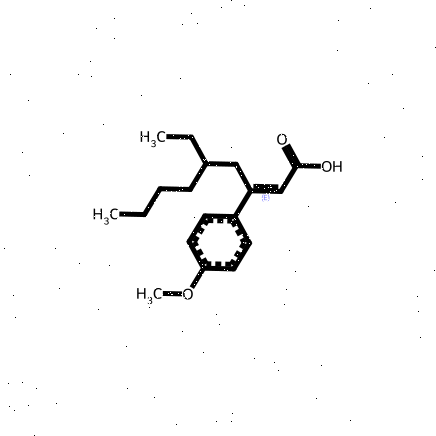 CCCCC(CC)C/C(=C\C(=O)O)c1ccc(OC)cc1